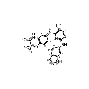 O=C1Nc2cc(Nc3nc(Nc4ccc5cn[nH]c5c4)ncc3F)ccc2OC12CC2